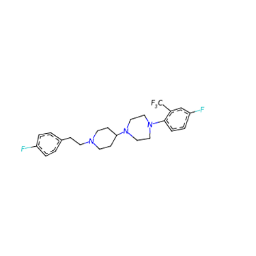 Fc1ccc(CCN2CCC(N3CCN(c4ccc(F)cc4C(F)(F)F)CC3)CC2)cc1